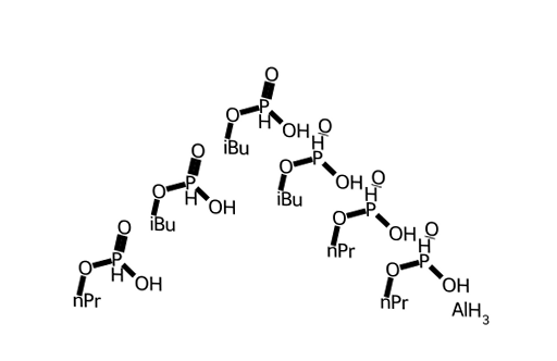 CCC(C)O[PH](=O)O.CCC(C)O[PH](=O)O.CCC(C)O[PH](=O)O.CCCO[PH](=O)O.CCCO[PH](=O)O.CCCO[PH](=O)O.[AlH3]